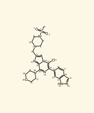 CS(=O)(=O)N1CCN(Cc2cn3c(Cl)c(-c4ccc5cn[nH]c5c4)nc(N4CCOCC4)c3n2)CC1